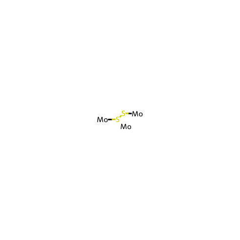 [Mo].[Mo][S][S][Mo]